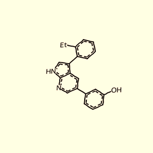 CCc1ccccc1-c1c[nH]c2ncc(-c3cccc(O)c3)cc12